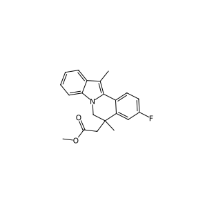 COC(=O)CC1(C)Cn2c(c(C)c3ccccc32)-c2ccc(F)cc21